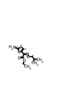 CCOC(=O)C(=NOCC(C)C)c1csc(N)n1